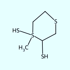 CS1(S)CCSCC1S